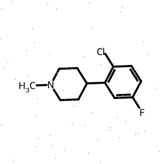 CN1CCC(c2cc(F)ccc2Cl)CC1